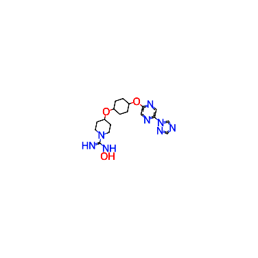 N=C(NO)N1CCC(OC2CCC(Oc3cnc(-n4cncn4)cn3)CC2)CC1